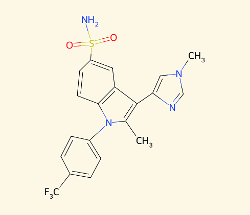 Cc1c(-c2cn(C)cn2)c2cc(S(N)(=O)=O)ccc2n1-c1ccc(C(F)(F)F)cc1